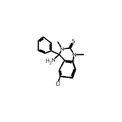 CN1C(=S)N(C)C(N)(c2ccccc2)c2cc(Cl)ccc21